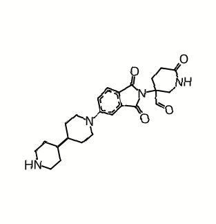 O=CC1(N2C(=O)c3ccc(N4CCC(C5CCNCC5)CC4)cc3C2=O)CCC(=O)NC1